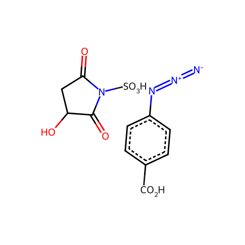 O=C1CC(O)C(=O)N1S(=O)(=O)O.[N-]=[N+]=Nc1ccc(C(=O)O)cc1